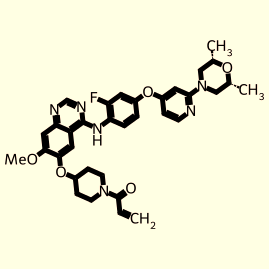 C=CC(=O)N1CCC(Oc2cc3c(Nc4ccc(Oc5ccnc(N6C[C@@H](C)O[C@@H](C)C6)c5)cc4F)ncnc3cc2OC)CC1